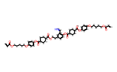 C=CC(=O)OCCCCCOc1ccc(OC(=O)C2CCC(C(=O)OCCc3ccc(OC(=O)C4CCC(C(=O)Oc5ccc(OCCCCCOC(=O)C=C)cc5)CC4)c(C=N)c3)CC2)cc1